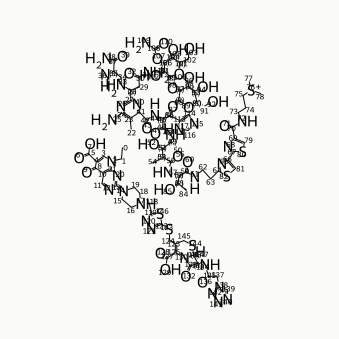 CCn1cc(C(=O)O)c(=O)c2cnc(N3CCNCC3)nc21.Cc1c(N)nc([C@H](CC(N)=O)NC[C@H](N)C(N)=O)nc1C(=O)N[C@H](C(=O)N[C@H](C)[C@@H](O)[C@H](C)C(=O)N[C@H](C(=O)NCCc1nc(-c2nc(C(=O)NCCC[S+](C)C)cs2)cs1)[C@@H](C)O)[C@@H](O[C@@H]1O[C@@H](CO)[C@@H](O)[C@H](O)[C@@H]1O[C@H]1O[C@H](CO)[C@@H](O)[C@H](OC(N)=O)[C@@H]1O)c1cnc[nH]1.Cc1nnc(SCC2=C(C(=O)O)N3C(=O)[C@@H](NC(=O)Cn4cnnn4)[C@H]3SC2)s1